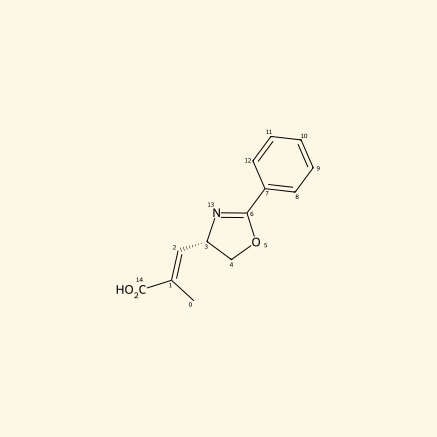 C/C(=C\[C@H]1COC(c2ccccc2)=N1)C(=O)O